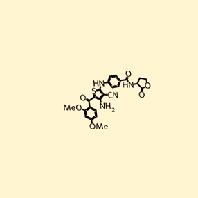 COc1ccc(C(=O)c2sc(Nc3ccc(C(=O)NC4CCOC4=O)cc3)c(C#N)c2N)c(OC)c1